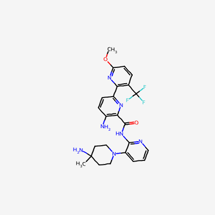 COc1ccc(C(F)(F)F)c(-c2ccc(N)c(C(=O)Nc3ncccc3N3CCC(C)(N)CC3)n2)n1